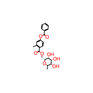 Cc1cc(OC(=O)c2ccccc2)ccc1C(=O)OC[C@H]1OC(C)[C@H](O)[C@@H](O)[C@H]1O